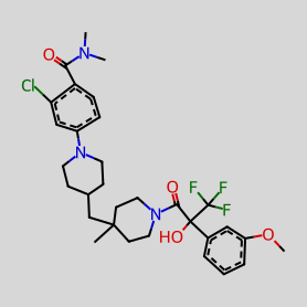 COc1cccc(C(O)(C(=O)N2CCC(C)(CC3CCN(c4ccc(C(=O)N(C)C)c(Cl)c4)CC3)CC2)C(F)(F)F)c1